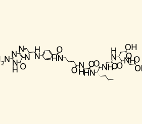 CCCC[C@H](NC(=O)CNC(=O)CCCNC(=O)c1ccc(NCc2cnc3nc(N)[nH]c(=O)c3n2)cc1)C(=O)NCC(=O)N[C@@H](CC(=O)O)C(=O)NCC(=O)O